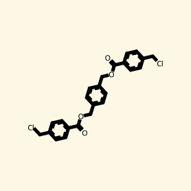 O=C(OCc1ccc(COC(=O)c2ccc(CCl)cc2)cc1)c1ccc(CCl)cc1